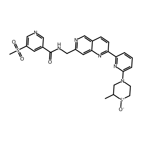 CC1CN(c2cccc(-c3ccc4cnc(CNC(=O)c5cncc(S(C)(=O)=O)c5)cc4n3)n2)CC[S+]1[O-]